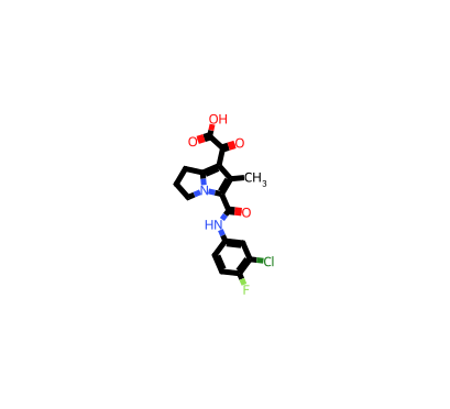 Cc1c(C(=O)C(=O)O)c2n(c1C(=O)Nc1ccc(F)c(Cl)c1)CCC2